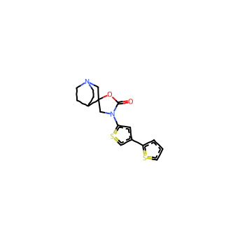 O=C1OC2(CN3CCC2CC3)CN1c1cc(-c2cccs2)cs1